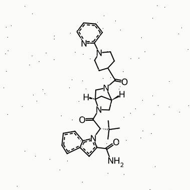 CC(C)(C)[C@@H](C(=O)N1C[C@@H]2C[C@H]1CN2C(=O)C1CCN(c2ccccn2)CC1)n1c(C(N)=O)cc2ccccc21